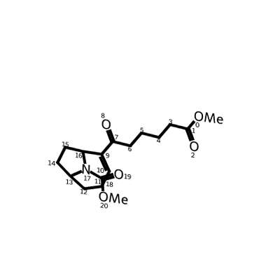 COC(=O)CCCCC(=O)C1=CCCC2CCC1N2C(=O)OC